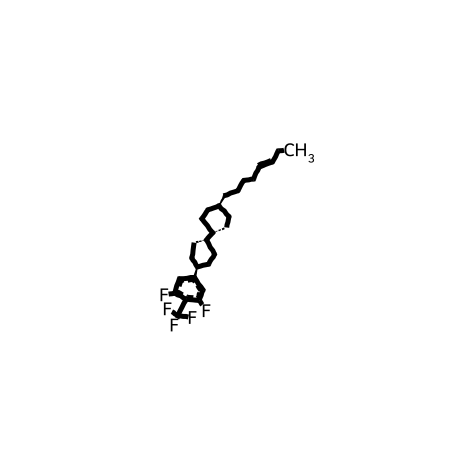 CC/C=C/CCCC[C@H]1CC[C@H]([C@H]2CC[C@H](c3cc(F)c(C(F)(F)F)c(F)c3)CC2)CC1